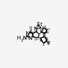 [CH2]CON=C1C[C@@H](c2ccc(F)cc2-c2cccnc2)Cc2nc(N)nc(C)c21